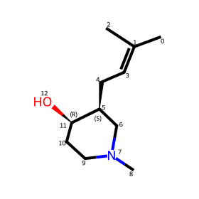 CC(C)=CC[C@H]1CN(C)CC[C@H]1O